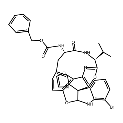 CC(C)[C@@H]1NC(=O)[C@@H](NC(=O)OCc2ccccc2)Cc2ccc3c(c2)C2(c4cccc(Br)c4NC2O3)c2oc1nc2-c1ncco1